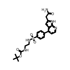 CC(C)(C)OC(=O)NCCNS(=O)(=O)c1ccc(-c2ccnc3[nH]c(CC(N)=O)cc23)cc1